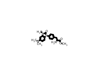 COC(=O)C(N)Cc1ccc(-n2c(=O)n(C)c3cc(N(C)C)ccc32)cc1